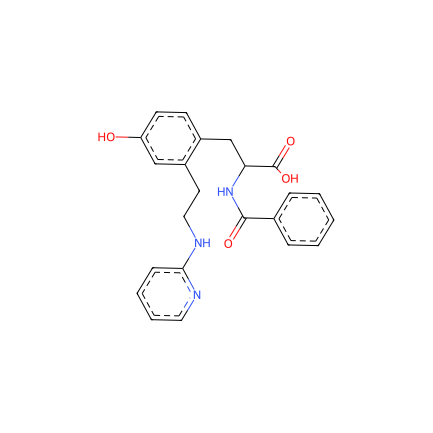 O=C(NC(Cc1ccc(O)cc1CCNc1ccccn1)C(=O)O)c1ccccc1